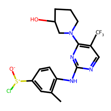 Cc1cc([S+]([O-])Cl)ccc1Nc1ncc(C(F)(F)F)c(N2CCCC(O)C2)n1